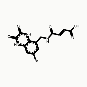 O=C(O)/C=C/C(=O)NCc1cc(Br)cc2[nH]c(=O)c(=O)[nH]c12